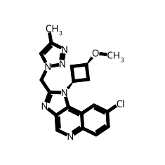 CO[C@H]1C[C@@H](n2c(Cn3cc(C)nn3)nc3cnc4ccc(Cl)cc4c32)C1